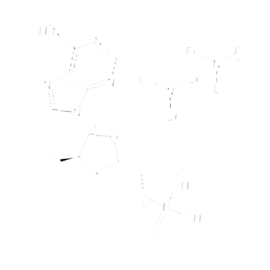 CCN(CC)CC.CCN(CC)CC.Nc1ncnc2c1ncn2[C@@H]1O[C@H](COP(=O)(O)O)C[C@H]1O